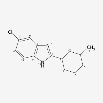 CC1CCCC(c2nc3cc(Cl)ccc3[nH]2)C1